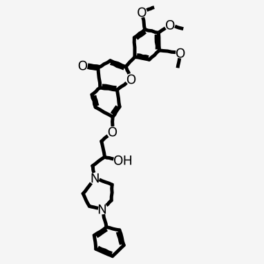 COc1cc(-c2cc(=O)c3ccc(OCC(O)CN4CCN(c5ccccc5)CC4)cc3o2)cc(OC)c1OC